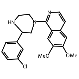 COc1cc2ccnc(N3CCNC(c4cccc(Cl)c4)C3)c2cc1OC